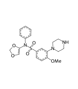 COc1ccc(S(=O)(=O)N(C2=COCO2)c2ccccc2)cc1N1CCNCC1